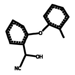 Cc1ccccc1Oc1ccccc1C(O)C#N